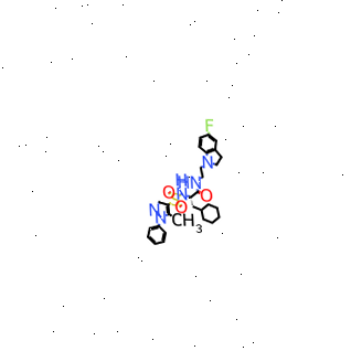 Cc1c(S(=O)(=O)N[C@@H](CC2CCCCC2)C(=O)NCCN2CCc3cc(F)ccc32)cnn1-c1ccccc1